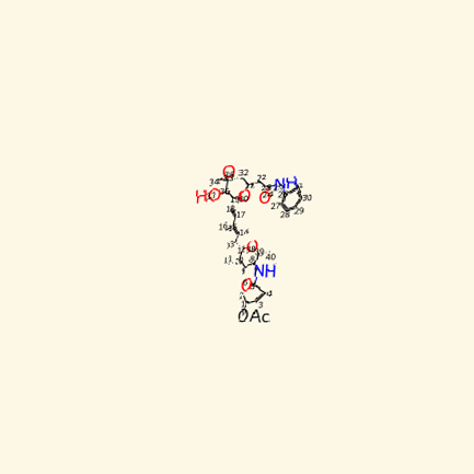 CC(=O)O[C@@H](C)/C=C\C(=O)N[C@@H]1C[C@H](C)[C@H](C/C=C(C)/C=C/[C@H]2O[C@H](CC(=O)Nc3ccccc3)C[C@@]3(CO3)[C@@H]2O)O[C@@H]1C